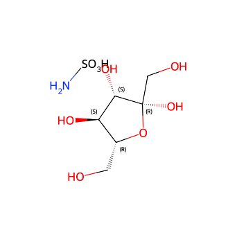 NS(=O)(=O)O.OC[C@H]1O[C@](O)(CO)[C@@H](O)[C@@H]1O